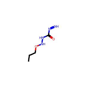 CCCONNC(=O)N=N